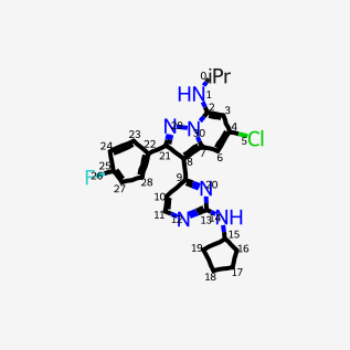 CC(C)Nc1cc(Cl)cc2c(-c3ccnc(NC4CCCC4)n3)c(-c3ccc(F)cc3)nn12